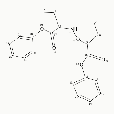 CCC(NOC(CC)C(=O)Oc1ccccc1)C(=O)Oc1ccccc1